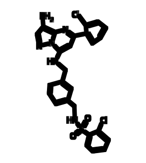 Bc1cnn2c(NCc3cccc(CNS(=O)(=O)c4ccccc4Cl)c3)cc(-c3ccccc3Cl)nc12